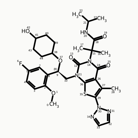 COc1ccc(F)cc1[C@H](Cn1c(=O)n(C(C)(C)C(=O)NC(C)C)c(=O)c2c(C)c(-n3nccn3)sc21)OC1CCC(O)CC1